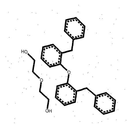 OCCOCCO.c1ccc(Cc2ccccc2Oc2ccccc2Cc2ccccc2)cc1